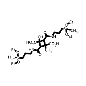 CCO[Si](C)(CCCNC(=O)C1C(C)(C(=O)O)C(C(=O)NCCC[Si](C)(OCC)OCC)C1(C)C(=O)O)OCC